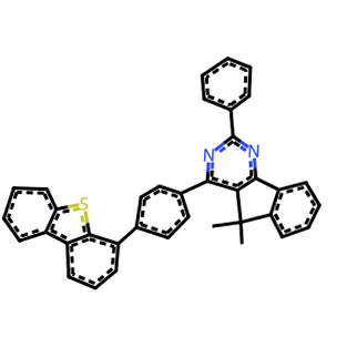 CC1(C)c2ccccc2-c2nc(-c3ccccc3)nc(-c3ccc(-c4cccc5c4sc4ccccc45)cc3)c21